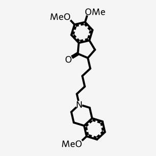 COc1cc2c(cc1OC)C(=O)C(CCCCN1CCc3c(cccc3OC)C1)C2